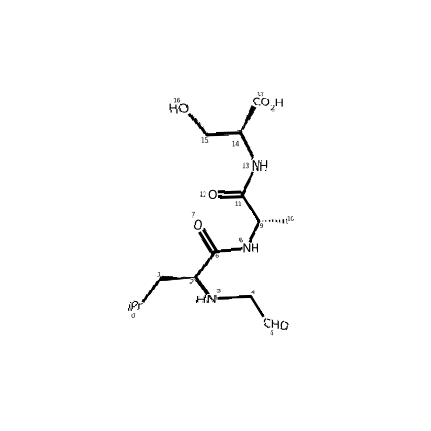 CC(C)C[C@H](NCC=O)C(=O)N[C@@H](C)C(=O)N[C@@H](CO)C(=O)O